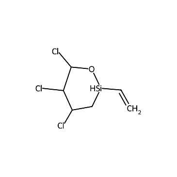 C=C[SiH]1CC(Cl)C(Cl)C(Cl)O1